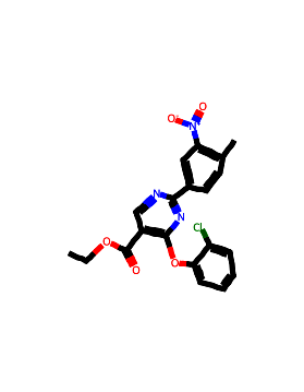 CCOC(=O)c1cnc(-c2ccc(C)c([N+](=O)[O-])c2)nc1Oc1ccccc1Cl